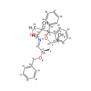 C=C[C@H](C[C@H](C=NO)OCc1ccccc1)O[Si](c1ccccc1)(c1ccccc1)C(C)(C)C